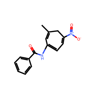 CC1=CC(NC(=O)c2ccccc2)=CC=C([N+](=O)[O-])C1